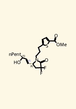 CCCCC[C@H](O)/C=C/[C@H]1CC(F)(F)C(=O)N1CCCc1ccc(C(=O)OC)s1